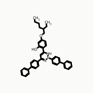 CCCCC(CC)COc1ccc(C2=CC(c3ccc(-c4ccccc4)cc3)=NN(c3ccc(-c4ccccc4)cc3)N2)c(O)c1